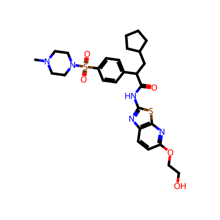 CN1CCN(S(=O)(=O)c2ccc(C(CC3CCCC3)C(=O)Nc3nc4ccc(OCCO)nc4s3)cc2)CC1